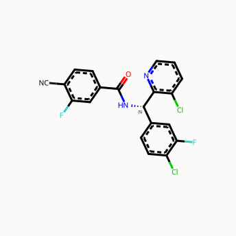 N#Cc1ccc(C(=O)N[C@@H](c2ccc(Cl)c(F)c2)c2ncccc2Cl)cc1F